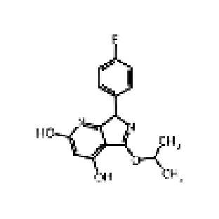 CC(C)OC1=NC(c2ccc(F)cc2)c2nc(O)cc(O)c21